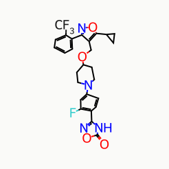 O=c1[nH]c(-c2ccc(N3CCC(OCc4c(-c5ccccc5C(F)(F)F)noc4C4CC4)CC3)cc2F)no1